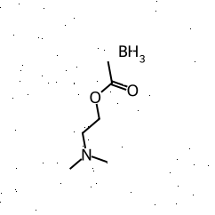 B.CC(=O)OCCN(C)C